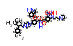 CC1(C)CCC(CN2CCN(c3ccc(C(=O)NS(=O)(=O)c4ccc(NCCCN5CCCC5)c([N+](=O)O)c4)c(Oc4cccc5[nH]ccc45)c3)CC2)=C(c2ccc(C(F)(F)F)cc2)C1